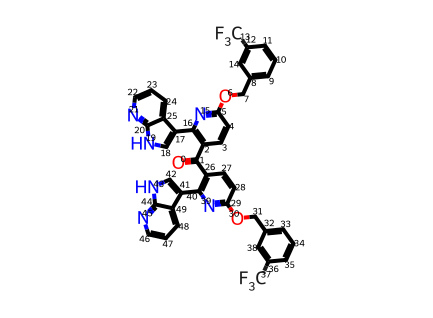 O=C(c1ccc(OCc2cccc(C(F)(F)F)c2)nc1-c1c[nH]c2ncccc12)c1ccc(OCc2cccc(C(F)(F)F)c2)nc1-c1c[nH]c2ncccc12